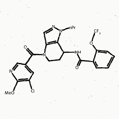 CCCn1ncc2c1C(NC(=O)c1ccccc1OC(F)(F)F)CCN2C(=O)c1cnc(OC)c(Cl)c1